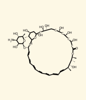 C[C@@H]1[C@H](O)[C@@H](C)/C=C/C=C/C=C/C=C/C=C/C=C/C=C/[C@H](O[C@@H]2O[C@H](C)[C@@H](O)[C@H](N)[C@@H]2O)C[C@@H]2O[C@](O)(C[C@@H](O)[C@H](O)CC[C@@H](O)C[C@@H](O)C[C@@H](O)CC(=O)O[C@H]1C)C[C@H](O)[C@H]2C